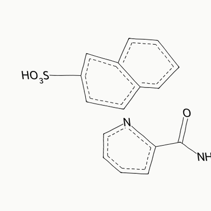 NC(=O)c1ccccn1.O=S(=O)(O)c1ccc2ccccc2c1